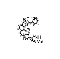 CN/C=C(\C=N)c1cnc2ccc3ccc(CS(=O)(=O)NCc4cccnc4)cc3c(=O)c2c1